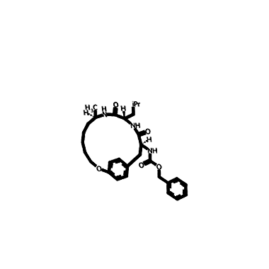 CC(C)C[C@@H]1NC(=O)[C@@H](NC(=O)OCc2ccccc2)Cc2ccc(cc2)OCCCCC[C@@H](C)NC1=O